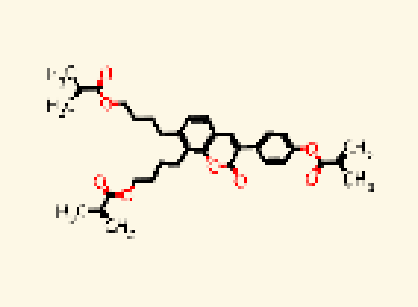 C=C(C)C(=O)OCCCCc1ccc2cc(-c3ccc(OC(=O)C(=C)C)cc3)c(=O)oc2c1CCCCOC(=O)C(=C)C